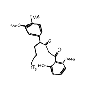 COc1ccc(C(CCCC(F)(F)F)C(=O)CC(=O)c2c(O)cccc2OC)cc1OC